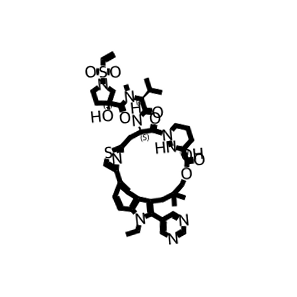 C=CS(=O)(=O)N1CC[C@@](O)(C(=O)N(C)[C@H](C(=O)N[C@H]2Cc3nc(cs3)-c3ccc4c(c3)c(c(-c3cncnc3)n4CC)CC(C)(C)COC(=O)[C@@]3(O)CCCN(N3)C2=O)C(C)C)C1